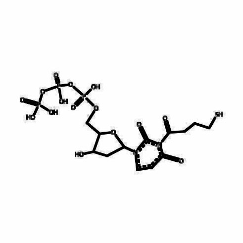 O=C(CCCS)n1c(=O)ccn(C2CC(O)C(COP(=O)(O)OP(=O)(O)OP(=O)(O)O)O2)c1=O